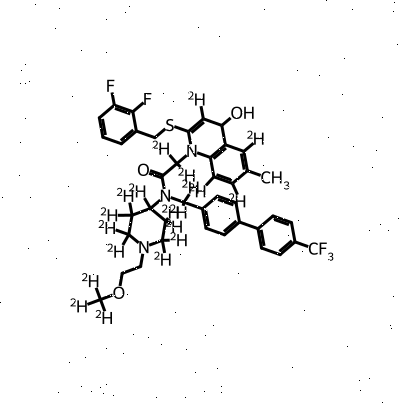 [2H]C1=C(SCc2cccc(F)c2F)N(C([2H])([2H])C(=O)N(C([2H])([2H])c2ccc(-c3ccc(C(F)(F)F)cc3)cc2)C2([2H])C([2H])([2H])C([2H])([2H])N(CCOC([2H])([2H])[2H])C([2H])([2H])C2([2H])[2H])c2c([2H])c([2H])c(C)c([2H])c2C1O